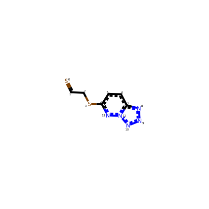 S=CCSc1ccc2nnnn2n1